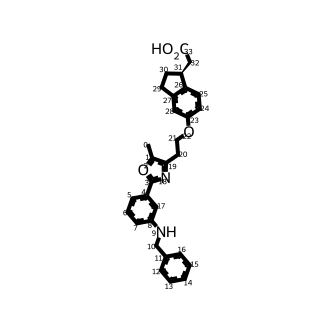 Cc1oc(-c2cccc(NCc3ccccc3)c2)nc1CCOc1ccc2c(c1)CC[C@H]2CC(=O)O